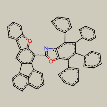 c1ccc(-c2c(-c3ccccc3)c(-c3ccccc3)c3oc(-c4c5c(cc6c4oc4ccccc46)-c4cccc6cccc-5c46)nc3c2-c2ccccc2)cc1